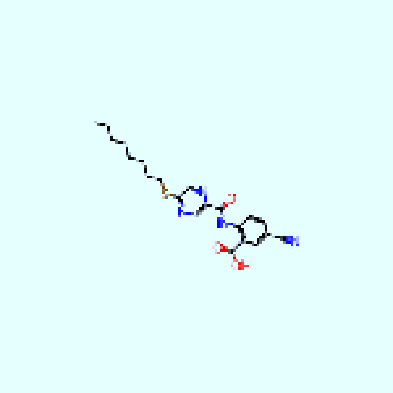 CCCCCCCCSc1cnc(C(=O)Nc2ccc(C#N)cc2C(=O)O)cn1